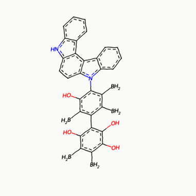 Bc1c(B)c(O)c(-c2c(B)c(B)c(-n3c4ccccc4c4c5c(ccc43)[nH]c3ccccc35)c(O)c2B)c(O)c1O